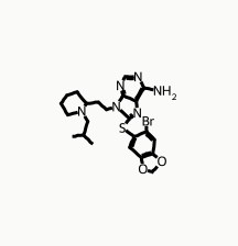 CC(C)CN1CCCCC1CCn1c(Sc2cc3c(cc2Br)OCO3)nc2c(N)ncnc21